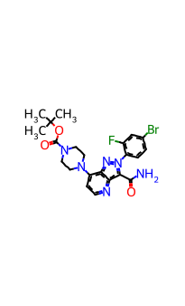 CC(C)(C)OC(=O)N1CCN(c2ccnc3c(C(N)=O)n(-c4ccc(Br)cc4F)nc23)CC1